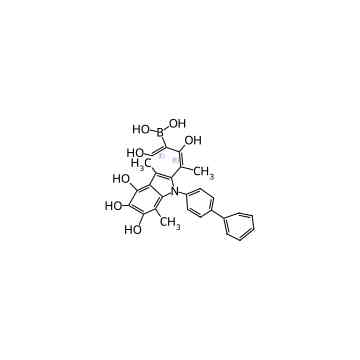 C/C(=C(O)/C(=C/O)B(O)O)c1c(C)c2c(O)c(O)c(O)c(C)c2n1-c1ccc(-c2ccccc2)cc1